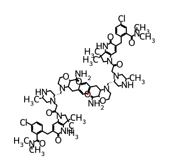 C[C@@H]1CN(CC(=O)N2CC(C)(C)c3[nH]c(=O)c(Cc4ccc(Cl)cc4C(=O)N(C)C)cc32)[C@@H](CN2CCOC(C(N)=O)C2Cc2ccc(CC3C(C(N)=O)OCCN3C[C@H]3CN[C@H](C)CN3CC(=O)N3CC(C)(C)c4[nH]c(=O)c(Cc5ccc(Cl)cc5C(=O)N(C)C)cc43)cc2)CN1